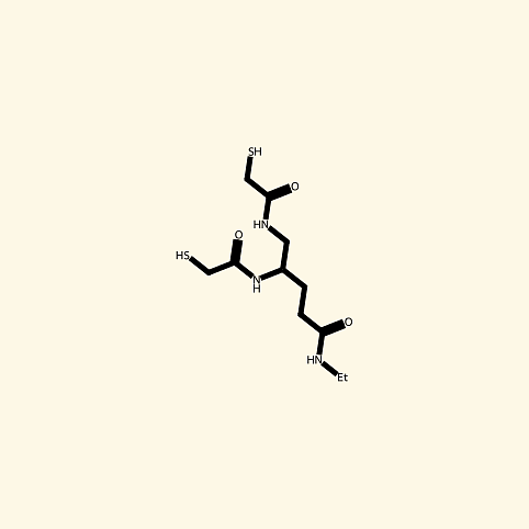 CCNC(=O)CCC(CNC(=O)CS)NC(=O)CS